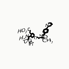 Cc1oc(-c2ccc(-c3ccccn3)cc2)nc1CCOc1ccc(CCC(=O)O)c(C(N)C(=O)OC(C)C)c1